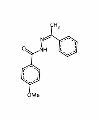 COc1ccc(C(=O)NN=C(C)c2ccccc2)cc1